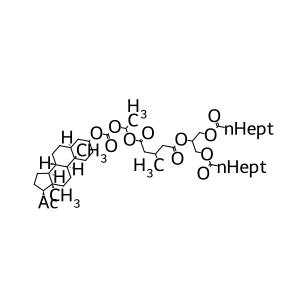 CCCCCCCC(=O)OCC(COC(=O)CCCCCCC)OC(=O)CC(C)CC(=O)OC(C)OC(=O)O[C@@H]1CC[C@@]2(C)[C@@H](CC[C@@H]3[C@@H]2CC[C@]2(C)[C@@H](C(C)=O)CC[C@@H]32)C1